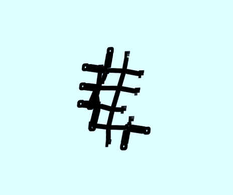 O=S(=O)(F)C(F)(F)C(F)(C(F)(C(F)(F)S(=O)(=O)F)S(=O)(=O)F)S(=O)(=O)F